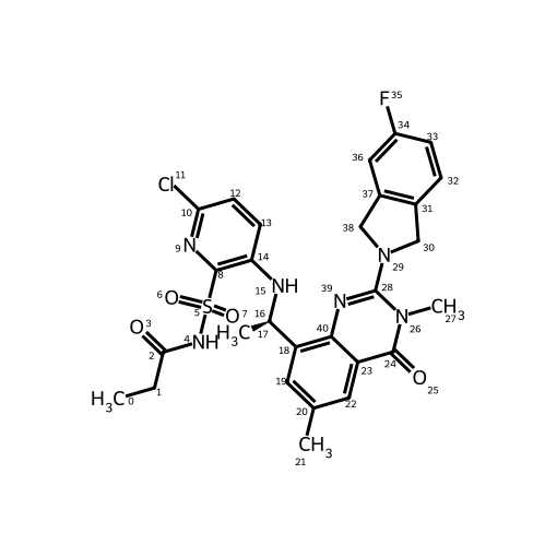 CCC(=O)NS(=O)(=O)c1nc(Cl)ccc1N[C@H](C)c1cc(C)cc2c(=O)n(C)c(N3Cc4ccc(F)cc4C3)nc12